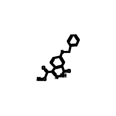 COC(=O)c1n[nH]c(=O)c2cc(SCc3ccccc3)ccc12